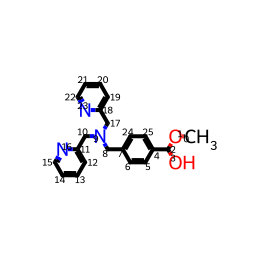 COC(O)c1ccc(CN(Cc2ccccn2)Cc2ccccn2)cc1